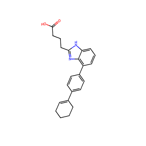 O=C(O)CCCc1nc2c(-c3ccc(C4=CCCCC4)cc3)cccc2[nH]1